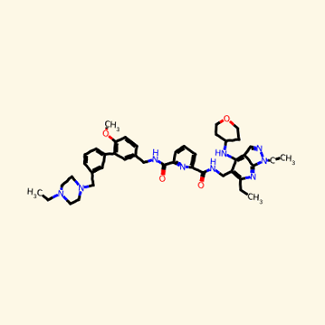 CCc1nc2c(cnn2CC)c(NC2CCOCC2)c1CNC(=O)c1cccc(C(=O)NCc2ccc(OC)c(-c3cccc(CN4CCN(CC)CC4)c3)c2)n1